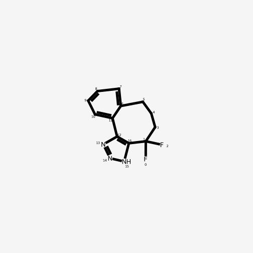 FC1(F)CCCc2ccccc2-c2nn[nH]c21